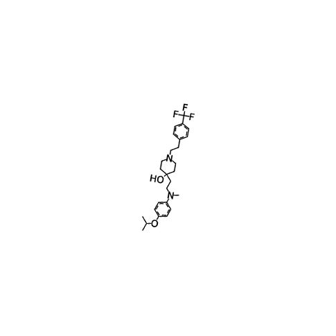 CC(C)Oc1ccc(N(C)CCC2(O)CCN(CCc3ccc(C(F)(F)F)cc3)CC2)cc1